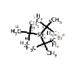 C[C](C)(C)[Sn+]([C](C)(C)C)[C](C)(C)C.[Br-]